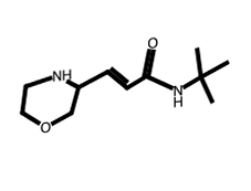 CC(C)(C)NC(=O)/C=C/C1COCCN1